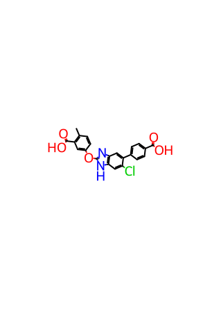 Cc1ccc(Oc2nc3cc(-c4ccc(C(=O)O)cc4)c(Cl)cc3[nH]2)cc1C(=O)O